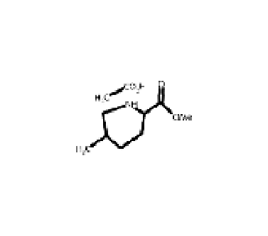 CC(=O)O.COC(=O)C1CCC(C)CN1